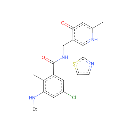 CCNc1cc(Cl)cc(C(=O)NCc2c(-c3nccs3)[nH]c(C)cc2=O)c1C